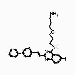 NCCCOCCCNc1nc(/C=C/c2ccc(-c3ccccc3)cc2)nc2ccc(I)cc12